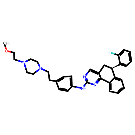 COCCN1CCN(CCc2ccc(Nc3ncc4c(n3)-c3ccccc3[C@H](c3ccccc3F)C4)cc2)CC1